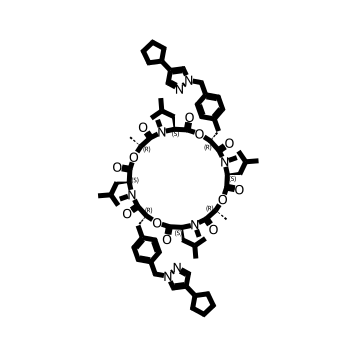 CC(C)C[C@H]1C(=O)O[C@H](Cc2ccc(Cn3cc(C4CCCC4)cn3)cc2)C(=O)N(C)[C@@H](CC(C)C)C(=O)O[C@H](C)C(=O)N(C)[C@@H](CC(C)C)C(=O)O[C@H](Cc2ccc(Cn3cc(C4CCCC4)cn3)cc2)C(=O)N(C)[C@@H](CC(C)C)C(=O)O[C@H](C)C(=O)N1C